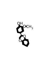 COC1=CC([C@@H]2COc3ccccc3O2)CC=C1O